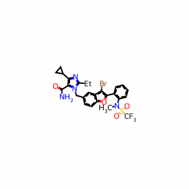 CCc1nc(C2CC2)c(C(N)=O)n1Cc1ccc2oc(-c3ccccc3N(C)S(=O)(=O)C(F)(F)F)c(Br)c2c1